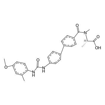 COc1ccc(NC(=O)Nc2ccc(-c3ccc(C(=O)N(C)[C@@H](C)C(=O)O)cc3)cc2)c(C)c1